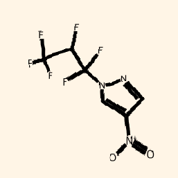 O=[N+]([O-])c1cnn(C(F)(F)C(F)C(F)(F)F)c1